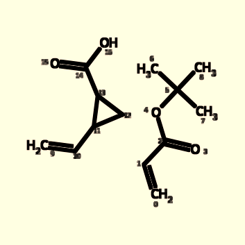 C=CC(=O)OC(C)(C)C.C=CC1CC1C(=O)O